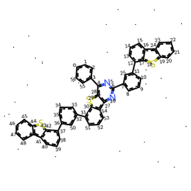 c1ccc(-c2nc(-c3cccc(-c4cccc5c4sc4ccccc45)c3)nc3c2sc2c(-c4cccc(-c5cccc6c5sc5ccccc56)c4)cccc23)cc1